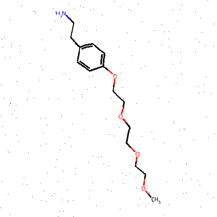 COCCOCCOCCOc1ccc(CCN)cc1